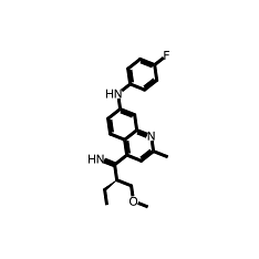 CC[C@H](COC)C(=N)c1cc(C)nc2cc(Nc3ccc(F)cc3)ccc12